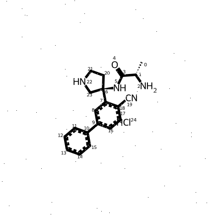 C[C@H](N)C(=O)N[C@]1(c2cc(-c3ccccc3)ccc2C#N)CCNC1.Cl